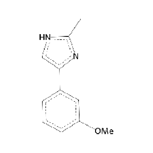 COc1cccc(-c2c[nH]c(C)n2)c1